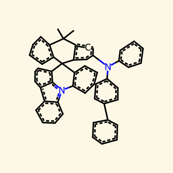 CC1(C)c2ccccc2C2(c3ccccc3-n3c4ccccc4c4cccc2c43)c2cc(N(c3ccccc3)c3ccc(-c4ccccc4)cc3)ccc21